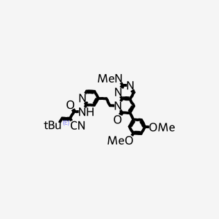 CNc1ncc2cc(-c3cc(OC)cc(OC)c3)c(=O)n(CCc3ccnc(NC(=O)/C(C#N)=C/C(C)(C)C)c3)c2n1